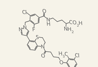 Cc1c(Cl)cccc1OCCCC(=O)N1CCSc2c(-c3cnn(Cc4c(F)cc(C(=O)NCCCC(N)C(=O)O)cc4Cl)c3)cccc21